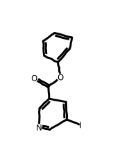 O=C(Oc1ccccc1)c1cncc(I)c1